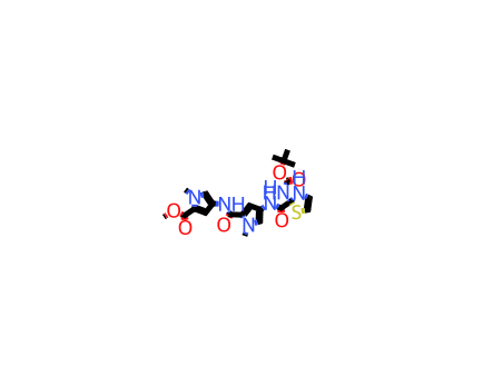 COC(=O)c1cc(NC(=O)c2cc(NC(=O)C3(NC(=O)OC(C)(C)C)NC=CS3)cn2C)cn1C